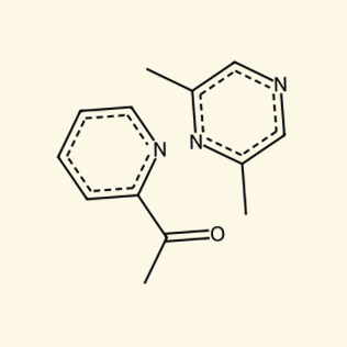 CC(=O)c1ccccn1.Cc1cncc(C)n1